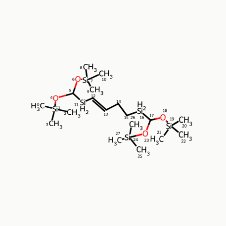 C[Si](C)(C)OC(O[Si](C)(C)C)[SiH2]C=CCC[SiH2]C(O[Si](C)(C)C)O[Si](C)(C)C